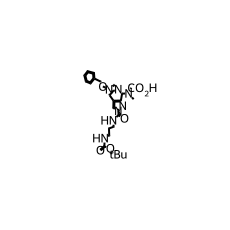 CN(C(=O)O)C1c2nn(C(=O)NCCCNC(=O)OC(C)(C)C)cc2C2CN1CN2OCc1ccccc1